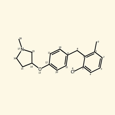 Cc1cccc(Cl)c1Cc1ccc(OC2CCN(C)C2)cc1